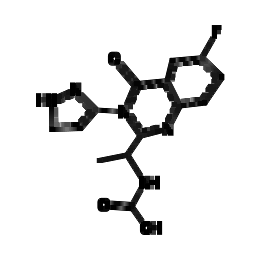 CC(NC(=O)O)c1nc2ccc(F)cc2c(=O)n1-c1cc[nH]n1